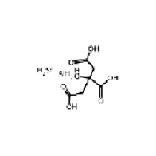 O=C(O)CC(O)(CC(=O)O)C(=O)O.[AlH3].[SrH2]